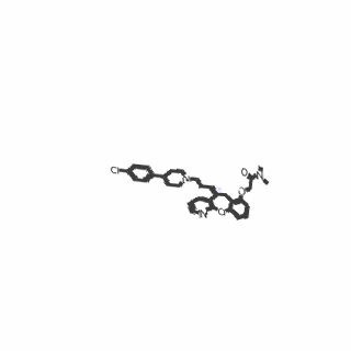 CN(C)C(=O)COc1cccc2c1C/C(=C/CCN1CCC(c3ccc(Cl)cc3)CC1)c1cccnc1O2